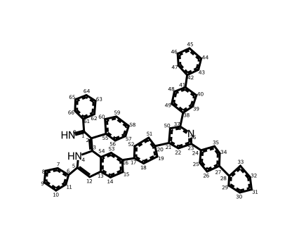 N=C(/C(=C1\NC(c2ccccc2)=Cc2ccc(-c3ccc(-c4cc(-c5ccc(-c6ccccc6)cc5)nc(-c5ccc(-c6ccccc6)cc5)c4)cc3)cc21)c1ccccc1)c1ccccc1